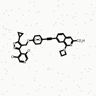 O=C(O)c1cc2ccc(C#CC34CCC(OCc5c(-c6c(Cl)cncc6Cl)noc5C5CC5)(CC3)CC4)cc2c(N2CCC2)n1